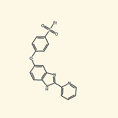 CCS(=O)(=O)c1ccc(Oc2ccc3[nH]c(-c4ccccn4)nc3c2)cc1